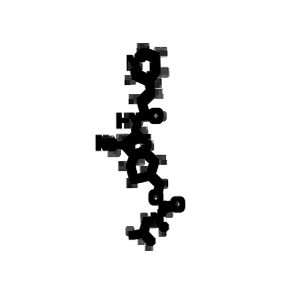 CC(C)CN(C)C(=O)OCC1CCc2c(sc(NC(=O)/C=C/c3cccnc3)c2C#N)C1